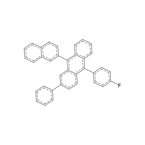 Fc1ccc(-c2c3ccccc3c(-c3ccc4ccccc4c3)c3cc(-c4ccccc4)ccc23)cc1